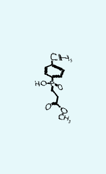 COC(=O)CCP(=O)(O)c1ccc(C)cc1